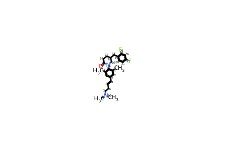 Cc1cc(/C=C/CCN(C)C)cc(C)c1N1CC(Cc2ccc(F)cc2F)CCC1=O